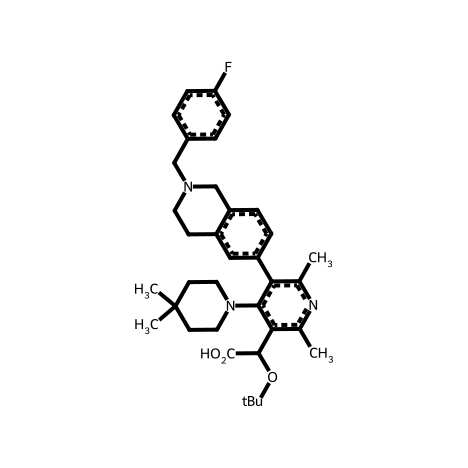 Cc1nc(C)c(C(OC(C)(C)C)C(=O)O)c(N2CCC(C)(C)CC2)c1-c1ccc2c(c1)CCN(Cc1ccc(F)cc1)C2